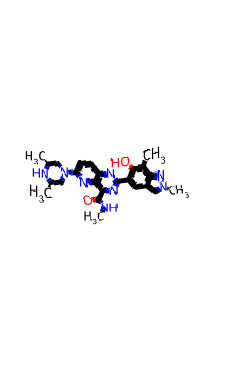 CNC(=O)c1nc(-c2cc3cn(C)nc3c(C)c2O)nc2ccc(N3C[C@@H](C)N[C@H](C)C3)nc12